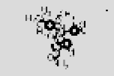 CCOc1cc(C(C)(C)C)ccc1C1=N[C@@H](c2ccc(Cl)cc2)[C@@H](c2ccc(Cl)cc2)N1C(=O)N1CCN(CC(N)=O)CC1.Cl